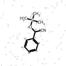 C[Si](C)(C)OC(C#N)c1ccccc1